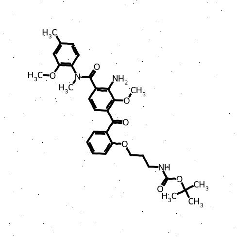 COc1cc(C)ccc1N(C)C(=O)c1ccc(C(=O)c2ccccc2OCCCNC(=O)OC(C)(C)C)c(OC)c1N